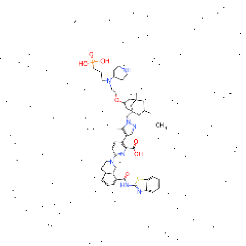 C.Cc1c(-c2ccc(N3CCc4cccc(C(=O)Nc5nc6ccccc6s5)c4C3)nc2C(=O)O)cnn1CC12CC(C)CC(C)(CC(OCCN(CCCP(=O)(O)O)C3CCNCC3)C1)C2